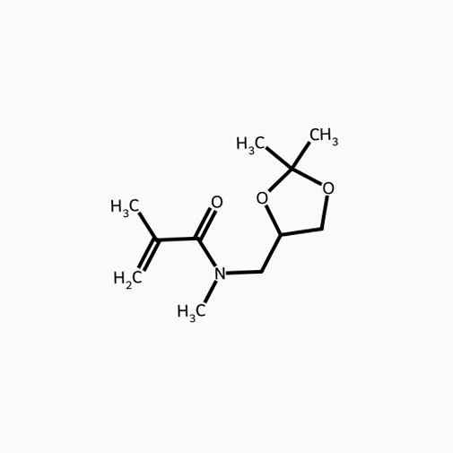 C=C(C)C(=O)N(C)CC1COC(C)(C)O1